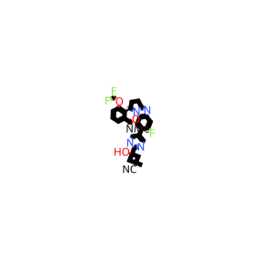 CNC(=O)c1cccc(OC(F)F)c1[C@H]1CCc2nc3cc(F)c(-c4cnc([C@]5(O)C[C@@](C)(C#N)C5)nc4)cc3n21